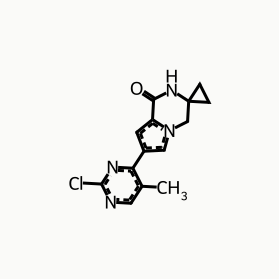 Cc1cnc(Cl)nc1-c1cc2n(c1)CC1(CC1)NC2=O